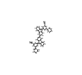 N#Cc1cc(-c2ccccc2)cc(-n2c3ccccc3c3cc(-c4ccc5c(c4)c4ccccc4n5-c4cc(C#N)cc(-c5ccccc5)c4)ccc32)c1